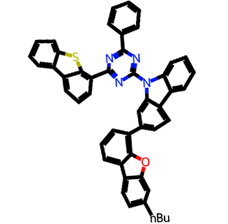 CCCCc1ccc2c(c1)oc1c(-c3ccc4c5ccccc5n(-c5nc(-c6ccccc6)nc(-c6cccc7c6sc6ccccc67)n5)c4c3)cccc12